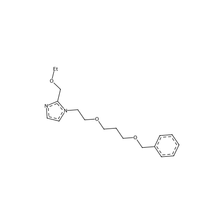 CCOCc1nccn1CCOCCCOCc1ccccc1